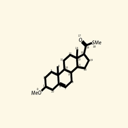 COC1CCC2(C)C(=CCC3C2CCC2(C)C(C(=O)SC)CCC32)C1